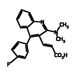 CN(C)c1nc2ccccc2c(-c2ccc(F)cc2)c1C=CC(=O)O